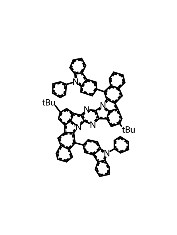 CC(C)(C)c1cc2c3cc4ccccc4c(-c4ccc5c(c4)c4ccccc4n5-c4ccccc4)c3n3c4nc5c6cc(C(C)(C)C)cc7c8cc9ccccc9c(-c9ccc%10c(c9)c9ccccc9n%10-c9ccccc9)c8n(c5nc4c(c1)c23)c76